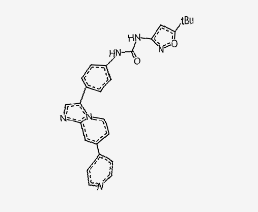 CC(C)(C)c1cc(NC(=O)Nc2ccc(-c3cnc4cc(-c5ccncc5)ccn34)cc2)no1